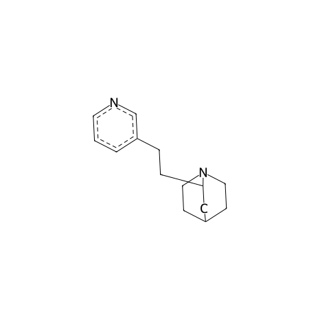 c1cncc(CCC2CC3CCN2CC3)c1